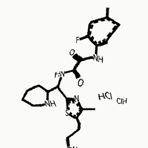 Cc1ccc(NC(=O)C(=O)NC(c2nc(C)c(CCO)s2)C2CCCCN2)c(F)c1.Cl.Cl